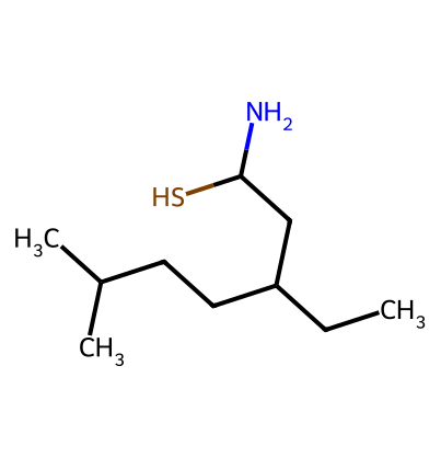 CCC(CCC(C)C)CC(N)S